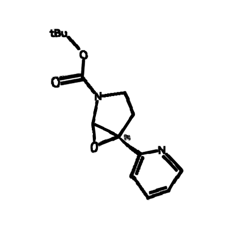 CC(C)(C)OC(=O)N1CC[C@]2(c3ccccn3)OC12